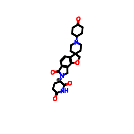 O=C1CCC(N2CCC3(CC2)COc2c3ccc3c2CN([C@H]2CCC(=O)NC2=O)C3=O)CC1